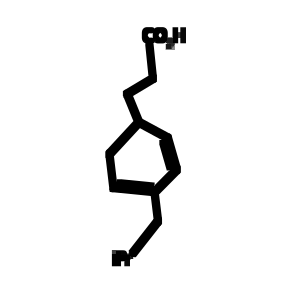 CC(C)CC1=CCC(CCC(=O)O)C=C1